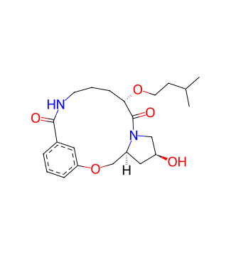 CC(C)CCO[C@H]1CCCNC(=O)c2cccc(c2)OC[C@@H]2C[C@H](O)CN2C1=O